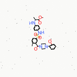 COC(=O)C(C)Nc1ccc(NS(=O)(=O)c2ccc(C)c(C(=O)N3CCN(c4ccccc4OC)CC3)c2)cc1